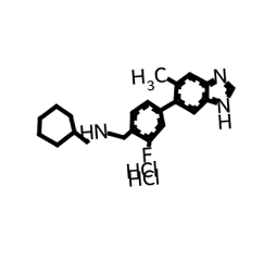 Cc1cc2nc[nH]c2cc1-c1ccc(CNCC2CCCCC2)c(F)c1.Cl.Cl